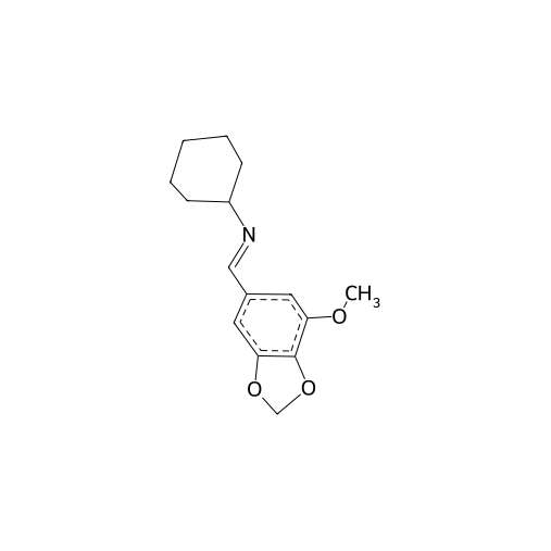 COc1cc(C=NC2CCCCC2)cc2c1OCO2